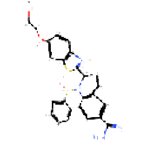 N=C(N)c1ccc2c(c1)CCC(c1nc3ccc(OCCO)cc3s1)N2[S+]([O-])c1ccccc1